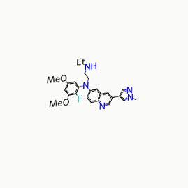 CCNCCN(c1ccc2ncc(-c3cnn(C)c3)cc2c1)c1cc(OC)cc(OC)c1F